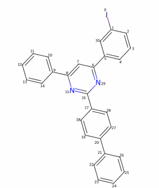 Ic1cccc(-c2cc(-c3ccccc3)nc(-c3ccc(-c4ccccc4)cc3)n2)c1